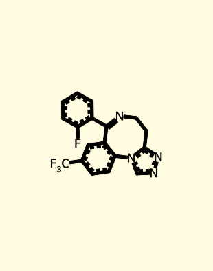 Fc1ccccc1C1=NCCc2nncn2-c2ccc(C(F)(F)F)cc21